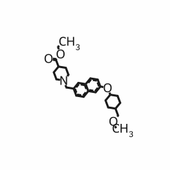 CCOC(=O)C1CCN(Cc2ccc3cc(OC4CCC(COC)CC4)ccc3c2)CC1